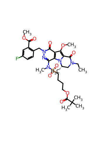 CCN1C[C@H](C)n2c(c(OC)c3c(=O)n(Cc4ccc(F)cc4C(=O)OC)nc(N(C)S(=O)(=O)CCCCOC(=O)C(C)(C)C)c32)C1=O